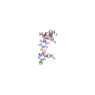 Cc1cc(Br)cnc1OCC1CCN(C(=O)OC(C)(C)C)CC1